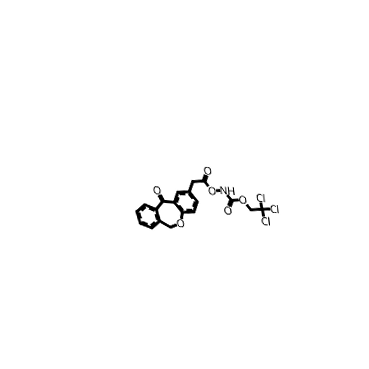 O=C(Cc1ccc2c(c1)C(=O)c1ccccc1CO2)ONC(=O)OCC(Cl)(Cl)Cl